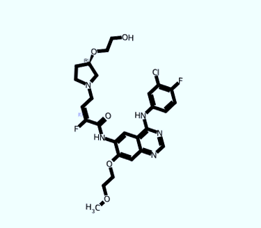 COCCOc1cc2ncnc(Nc3ccc(F)c(Cl)c3)c2cc1NC(=O)/C(F)=C\CN1CC[C@@H](OCCO)C1